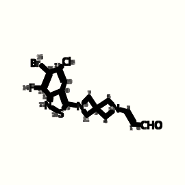 O=CC=CN1CC2(C1)CN(c1snc3c(F)c(Br)c(Cl)cc13)C2